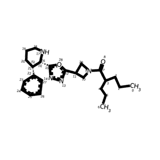 CCCC(CCC)C(=O)N1CC(c2nnc([C@H]3NCCC[C@H]3c3ccccc3)o2)C1